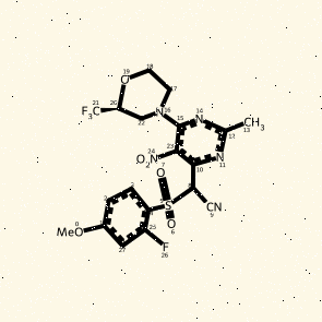 COc1ccc(S(=O)(=O)C(C#N)c2nc(C)nc(N3CCO[C@H](C(F)(F)F)C3)c2[N+](=O)[O-])c(F)c1